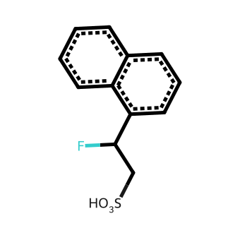 O=S(=O)(O)CC(F)c1cccc2ccccc12